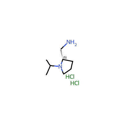 CC(C)N1CCC[C@H]1CN.Cl.Cl